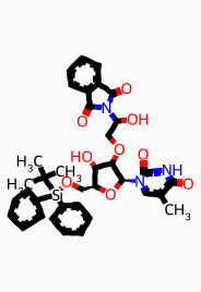 Cc1cn([C@H]2O[C@@H](CO[Si](c3ccccc3)(c3ccccc3)C(C)(C)C)C(O)C2OCC(O)N2C(=O)c3ccccc3C2=O)c(=O)[nH]c1=O